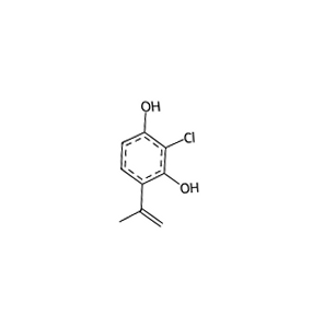 C=C(C)c1ccc(O)c(Cl)c1O